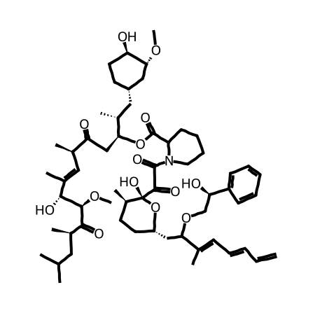 C=C/C=C/C=C(\C)C(C[C@@H]1CC[C@@H](C)[C@](O)(C(=O)C(=O)N2CCCCC2C(=O)O[C@@H](CC(=O)[C@H](C)/C=C(\C)[C@@H](O)[C@@H](OC)C(=O)[C@H](C)CC(C)C)[C@H](C)C[C@@H]2CC[C@@H](O)[C@H](OC)C2)O1)OC[C@@H](O)c1ccccc1